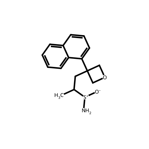 CC(CC1(c2cccc3ccccc23)COC1)[S+](N)[O-]